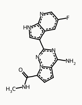 CNC(=O)c1ccc2c(N)nc(-c3c[nH]c4ncc(F)cc34)nn12